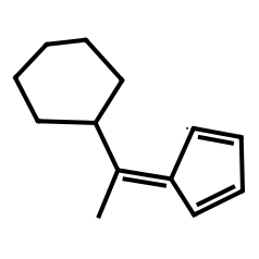 CC(=C1[C]=CC=C1)C1CCCCC1